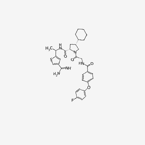 CC(NC(=O)[C@@H]1C[C@H](C2CCCCC2)CN1C(=O)CNC(=O)c1ccc(Oc2ccc(F)cc2)cc1)c1cc(C(=N)N)cs1